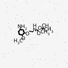 COc1ccc(N)cc1OCCNC(=O)OC(C)(C)C